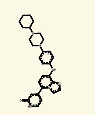 O=c1cc(-c2ccc(Nc3ccc(N4CCN(C5CCCCC5)CC4)cc3)c3nccn23)cc[nH]1